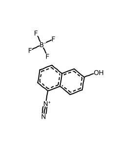 F[B-](F)(F)F.N#[N+]c1cccc2cc(O)ccc12